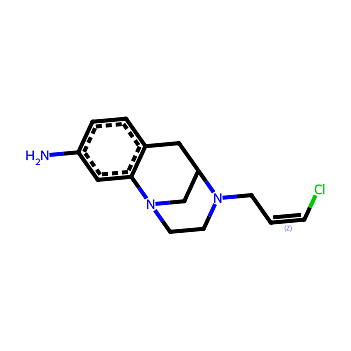 Nc1ccc2c(c1)N1CCN(C/C=C\Cl)C(C2)C1